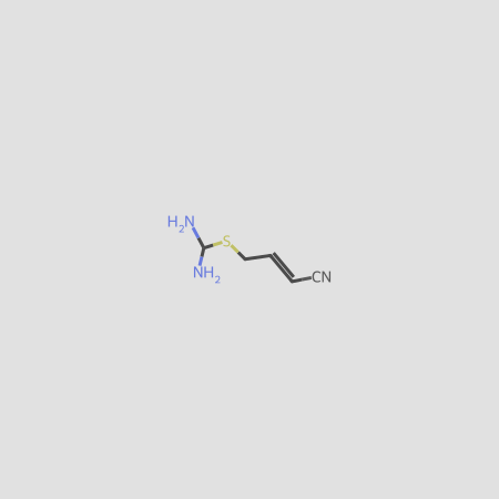 N#C/C=C/CSC(N)N